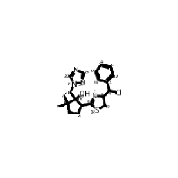 CC1(C)CCC(C2=NC(C(Cl)c3ccccc3)CS2)C1(O)Cn1cncn1